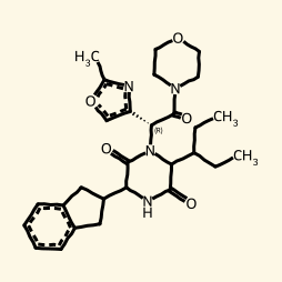 CCC(CC)C1C(=O)NC(C2Cc3ccccc3C2)C(=O)N1[C@@H](C(=O)N1CCOCC1)c1coc(C)n1